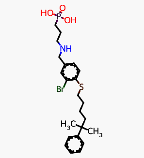 CC(C)(CCCCSc1ccc(CNCCCP(=O)(O)O)cc1Br)c1ccccc1